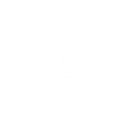 CCOc1cnc(/C(N)=N/O)cc1OC